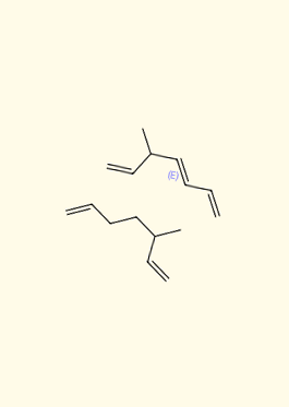 C=C/C=C/C(C)C=C.C=CCCC(C)C=C